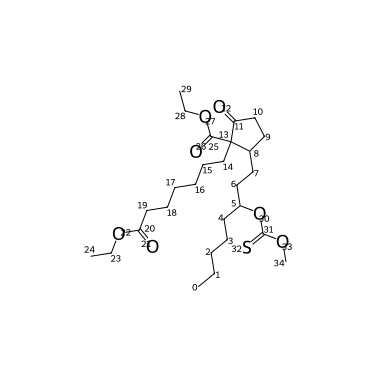 CCCCCC(CCC1CCC(=O)C1(CCCCCCC(=O)OCC)C(=O)OCC)OC(=S)OC